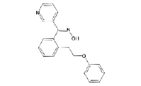 ON=C(c1cccnc1)c1ccccc1CCOc1ccccc1